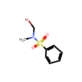 CN(CBr)S(=O)(=O)c1ccccc1